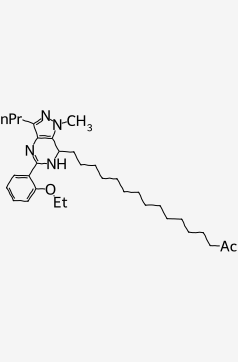 CCCc1nn(C)c2c1N=C(c1ccccc1OCC)NC2CCCCCCCCCCCCCCC(C)=O